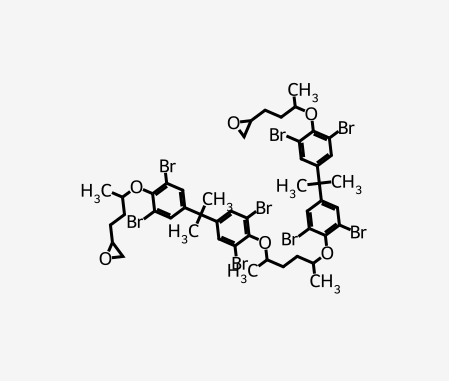 CC(CCC(C)Oc1c(Br)cc(C(C)(C)c2cc(Br)c(OC(C)CCC3CO3)c(Br)c2)cc1Br)Oc1c(Br)cc(C(C)(C)c2cc(Br)c(OC(C)CCC3CO3)c(Br)c2)cc1Br